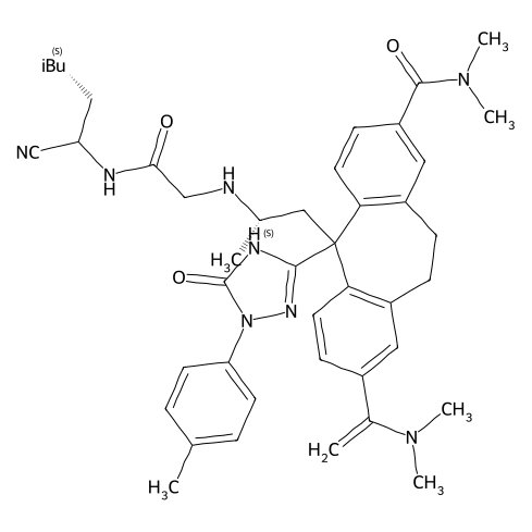 C=C(c1ccc2c(c1)CCc1cc(C(=O)N(C)C)ccc1C2(C[C@H](C)NCC(=O)NC(C#N)C[C@@H](C)CC)c1nn(-c2ccc(C)cc2)c(=O)[nH]1)N(C)C